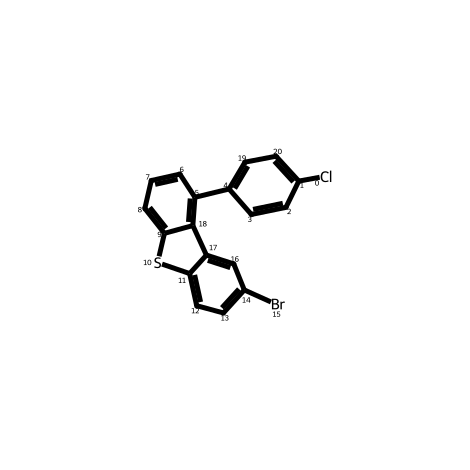 Clc1ccc(-c2cccc3sc4ccc(Br)cc4c23)cc1